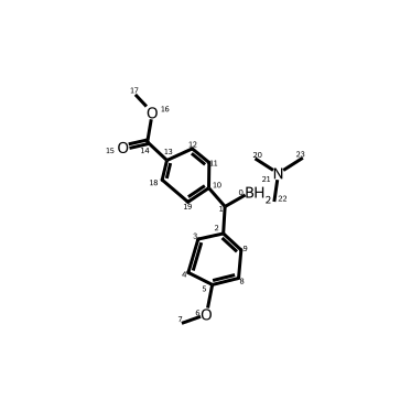 BC(c1ccc(OC)cc1)c1ccc(C(=O)OC)cc1.CN(C)C